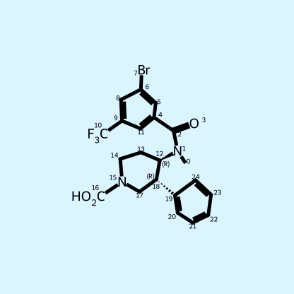 CN(C(=O)c1cc(Br)cc(C(F)(F)F)c1)[C@@H]1CCN(C(=O)O)C[C@H]1c1ccccc1